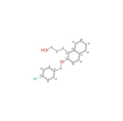 OCCCc1c(OCc2ccc(F)cc2)ccc2ccccc12